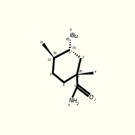 CC[C@@H](C)[C@@H]1C[C@](C)(C(N)=O)CC[C@H]1C